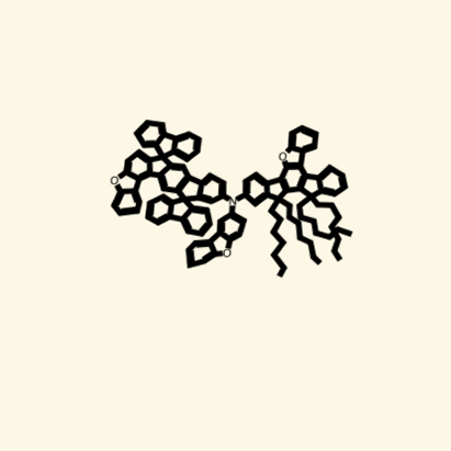 CCCCCCCC1(CCCCCCC)c2cc(N(c3ccc4c(c3)C3(c5ccccc5-c5ccccc53)c3cc5c(cc3-4)C3(c4ccccc4-c4ccccc43)c3ccc4oc6ccccc6c4c3-5)c3ccc4oc5ccccc5c4c3)ccc2-c2c1c1c(c3c2oc2ccccc23)-c2ccccc2C1(CCCCCCC)CCCCCCC